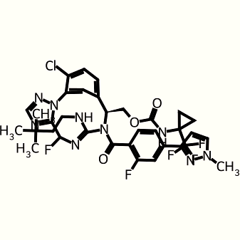 Cn1ccc(-c2ccc(C(=O)N3/C(NCCC(C)(C)C)=N/C(F)c4ncnn4-c4cc(ccc4Cl)[C@H]3COC(=O)NC3(C(F)(F)F)CC3)c(F)c2)n1